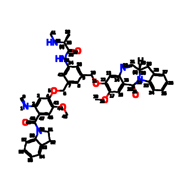 C=Nc1cc(OCc2cc(COc3cc4c(cc3OC)C(=O)N3c5ccccc5C[C@H]3C=N4)cc(NC(=O)[C@H](C)NC)c2)c(OC)cc1C(=O)N1CCc2ccccc21